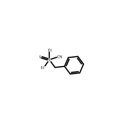 CCS(=S)(C#N)(CC)Cc1ccccc1